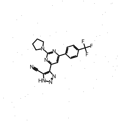 N#Cc1[nH]nnc1-c1cc(-c2ccc(C(F)(F)F)cc2)nc(N2CCCC2)n1